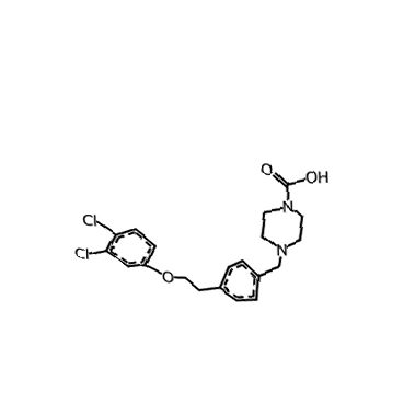 O=C(O)N1CCN(Cc2ccc(CCOc3ccc(Cl)c(Cl)c3)cc2)CC1